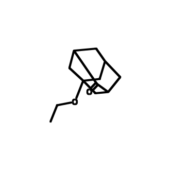 CCOC12CC3CC(C1)C(=O)C(C3)C2